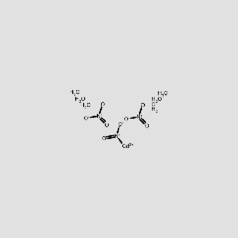 O.O.O.O.O.O.O=[N+]([O-])[Gd+2].O=[N+]([O-])[O-].O=[N+]([O-])[O-]